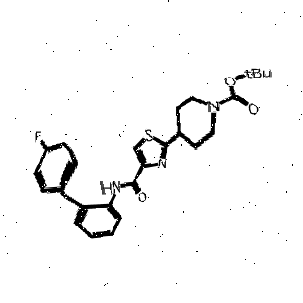 CC(C)(C)OC(=O)N1CCC(c2nc(C(=O)Nc3ccccc3-c3ccc(F)cc3)cs2)CC1